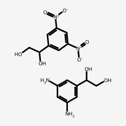 Nc1cc(N)cc(C(O)CO)c1.O=[N+]([O-])c1cc(C(O)CO)cc([N+](=O)[O-])c1